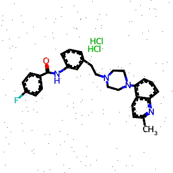 Cc1ccc2c(N3CCN(CCc4cccc(NC(=O)c5ccc(F)cc5)c4)CC3)cccc2n1.Cl.Cl